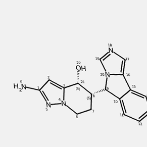 Nc1cc2n(n1)CC[C@@H](C1c3ccccc3-c3cncn31)[C@H]2O